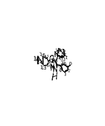 Cc1cccc(-c2[nH]nc(OC3CCN(C)CC3)c2-c2ccncn2)c1